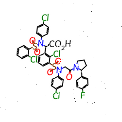 O=C(O)C(c1cccc(S(=O)(=O)N(CC(=O)N2CCCC2c2ccc(F)cc2)c2ccc(Cl)cc2)c1Cl)N(c1ccc(Cl)cc1)S(=O)(=O)c1ccccc1Cl